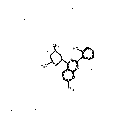 Cc1ccc2c(N3CC(C)CC(C)C3)nc(-c3ccccc3O)nc2c1